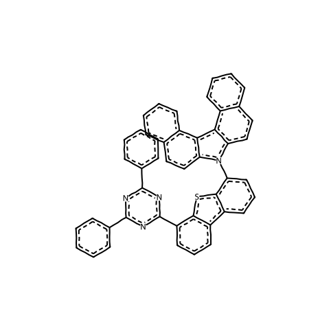 c1ccc(-c2nc(-c3ccccc3)nc(-c3cccc4c3sc3c(-n5c6ccc7ccccc7c6c6c7ccccc7ccc65)cccc34)n2)cc1